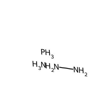 N.NN.P